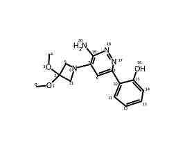 COC1(OC)CN(c2cc(-c3ccccc3O)nnc2N)C1